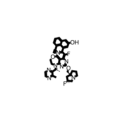 C#Cc1cccc2cc(O)cc(-c3nc4c5c(nc(OC[C@@]67CCCN6C[C@H](F)C7)nc5c3F)N([C@H](C)c3nccnc3C)CCO4)c12